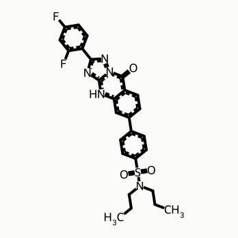 CCCN(CCC)S(=O)(=O)c1ccc(-c2ccc3c(=O)n4nc(-c5ccc(F)cc5F)nc4[nH]c3c2)cc1